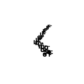 [F-].[F-].[F-].[F-].[F-].[F-].[Li+].[Li+].[Li+].[Li+].[Li+].[Li+].[Li+].[Li+].[Li+].[O]=[Sb]([O-])([O-])[O-]